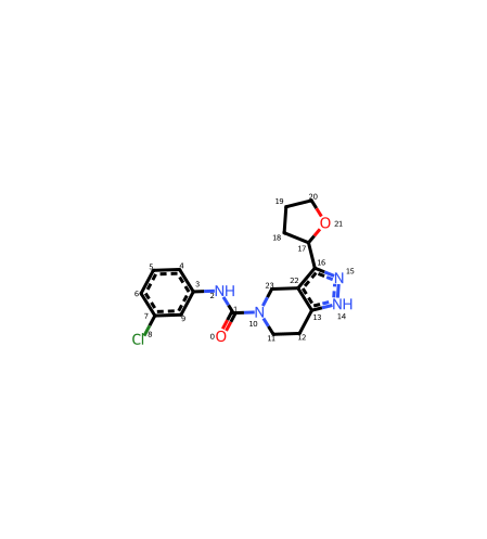 O=C(Nc1cccc(Cl)c1)N1CCc2[nH]nc(C3CCCO3)c2C1